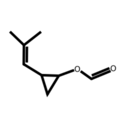 CC(C)=CC1CC1OC=O